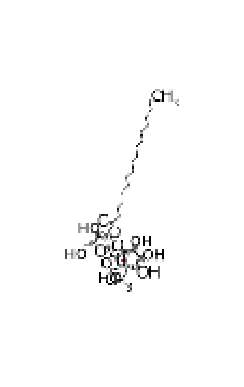 CCCCCCCCCCCCCCCCCC(=O)O[C@H]1[C@H](O)[C@@H](CO)O[C@]1(O[C@H]1O[C@H](CO)[C@@H](O)[C@H](O)[C@H]1O)C1OCC(C)O1